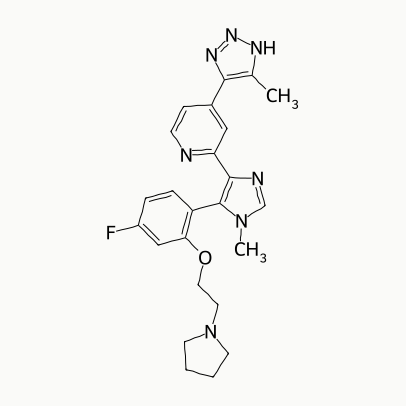 Cc1[nH]nnc1-c1ccnc(-c2ncn(C)c2-c2ccc(F)cc2OCCN2CCCC2)c1